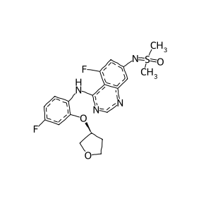 CS(C)(=O)=Nc1cc(F)c2c(Nc3ccc(F)cc3O[C@H]3CCOC3)ncnc2c1